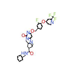 O=C(NCc1ccccc1)C1CC23CC1CN2c1cc(OCc2ccc(Oc4ccnc(C(F)(F)F)c4)c(F)c2)nc(=O)n1C3